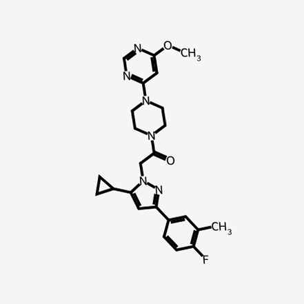 COc1cc(N2CCN(C(=O)Cn3nc(-c4ccc(F)c(C)c4)cc3C3CC3)CC2)ncn1